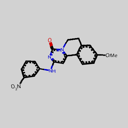 COc1ccc2c(c1)CCn1c-2cc(Nc2cccc([N+](=O)[O-])c2)nc1=O